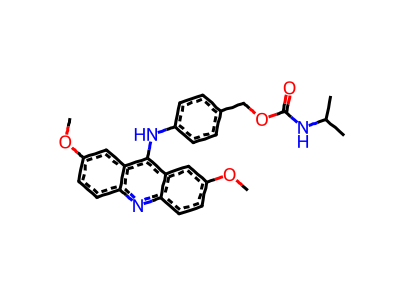 COc1ccc2nc3ccc(OC)cc3c(Nc3ccc(COC(=O)NC(C)C)cc3)c2c1